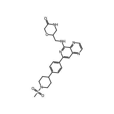 CS(=O)(=O)N1CCC(c2ccc(-c3cc4nccnc4c(NCC4CNC(=O)CO4)n3)cc2)CC1